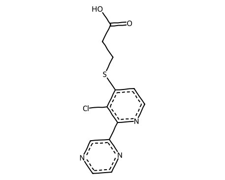 O=C(O)CCSc1ccnc(-c2cnccn2)c1Cl